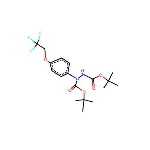 CC(C)(C)OC(=O)NN(C(=O)OC(C)(C)C)c1ccc(OCC(F)(F)F)cc1